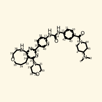 CN(C)C1CCN(C(=O)c2ccc(NC(=O)Nc3ccc(-c4nc5c(c(N6CCOCC6)n4)CCCOCCN5)cn3)cc2)CC1